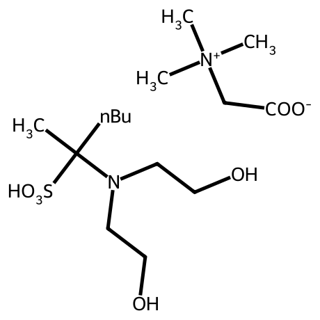 CCCCC(C)(N(CCO)CCO)S(=O)(=O)O.C[N+](C)(C)CC(=O)[O-]